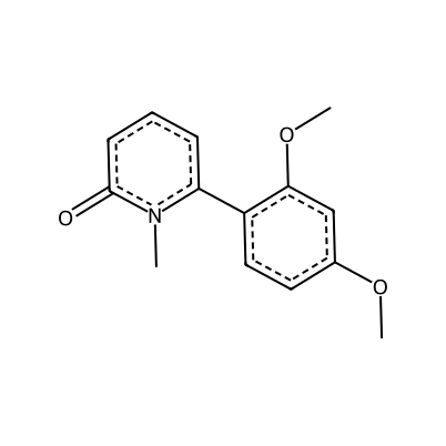 COc1ccc(-c2cccc(=O)n2C)c(OC)c1